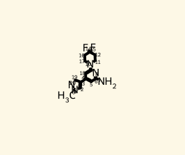 Cn1cc(-c2cc(N)nc(N3CCC(F)(F)CC3)c2)cn1